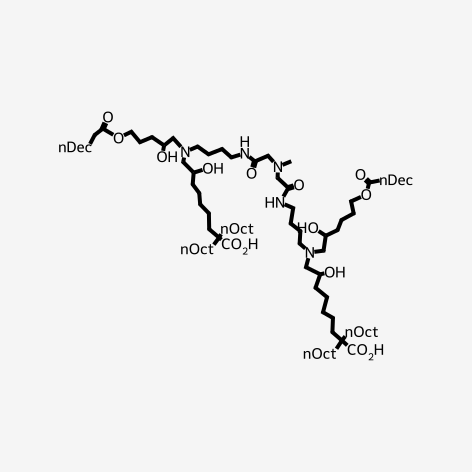 CCCCCCCCCCCC(=O)OCCCC(O)CN(CCCCNC(=O)CN(C)CC(=O)NCCCCN(CC(O)CCCCCC(CCCCCCCC)(CCCCCCCC)C(=O)O)CC(O)CCCCOC(=O)CCCCCCCCCC)CC(O)CCCCCC(CCCCCCCC)(CCCCCCCC)C(=O)O